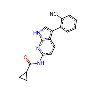 N#Cc1ccccc1-c1c[nH]c2nc(NC(=O)C3CC3)ccc12